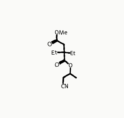 CCC(CC)(CC(=O)OC)C(=O)OC(C)CC#N